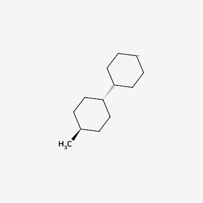 C[C@H]1CC[C@H](C2CC[CH]CC2)CC1